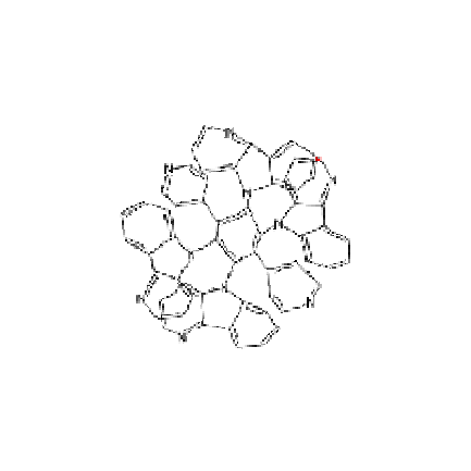 c1ccc2c(c1)c1ncccc1n2-c1c(-c2ccncc2)c(-n2c3ccccc3c3ncccc32)c(-n2c3ccccc3c3ncccc32)c(-c2ccncc2)c1-n1c2ccccc2c2ncccc21